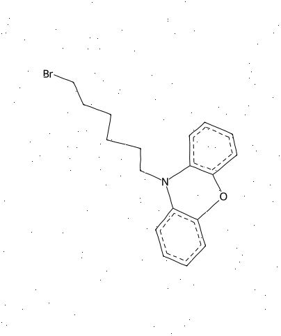 BrCCCCCCN1c2ccccc2Oc2ccccc21